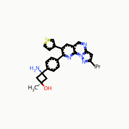 CC(C)c1cc2ncc3cc(-c4ccsc4)c(-c4ccc([C@]5(N)C[C@@](C)(O)C5)cc4)nc3n2n1